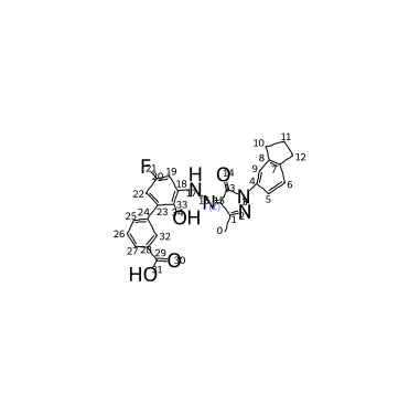 CC1=NN(c2ccc3c(c2)CCC3)C(=O)/C1=N\Nc1cc(F)cc(-c2cccc(C(=O)O)c2)c1O